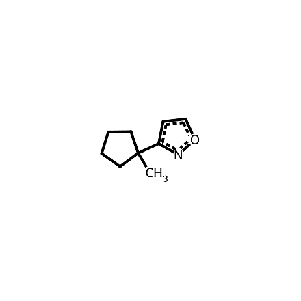 CC1(c2ccon2)CCCC1